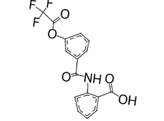 O=C(Nc1ccccc1C(=O)O)c1cccc(OC(=O)C(F)(F)F)c1